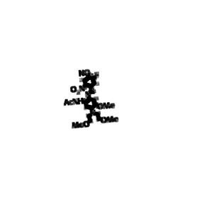 COCCN(CCOC)c1cc(NC(C)=O)c(/N=N/c2cc(F)c([N+](=O)[O-])cc2[N+](=O)[O-])cc1OC